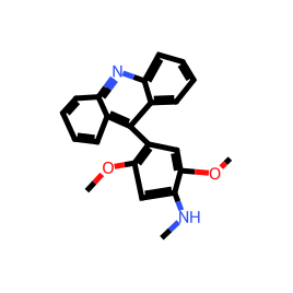 CNc1cc(OC)c(-c2c3ccccc3nc3ccccc23)cc1OC